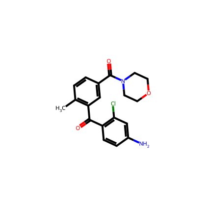 Cc1ccc(C(=O)N2CCOCC2)cc1C(=O)c1ccc(N)cc1Cl